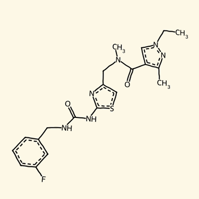 CCn1cc(C(=O)N(C)Cc2csc(NC(=O)NCc3cccc(F)c3)n2)c(C)n1